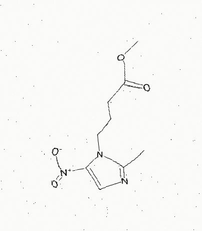 COC(=O)CCCn1c([N+](=O)[O-])cnc1C